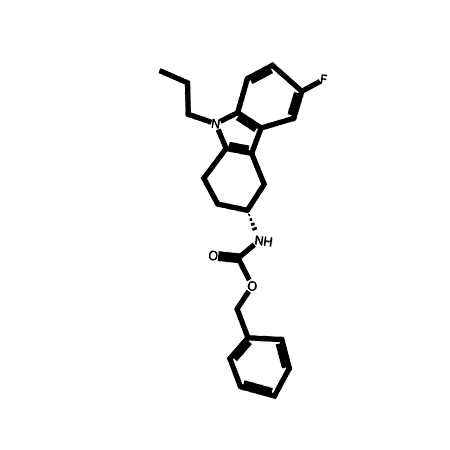 CCCn1c2c(c3cc(F)ccc31)C[C@H](NC(=O)OCc1ccccc1)CC2